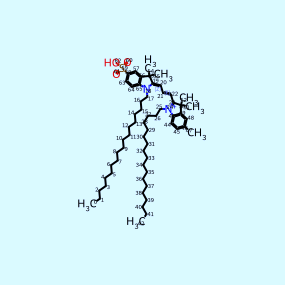 CCCCCCCCCCCCCCCCCCN1/C(=C\C=C\C2=[N+](CCCCCCCCCCCCCCCCCC)c3ccc(C)cc3C2(C)C)C(C)(C)c2cc(S(=O)(=O)O)ccc21